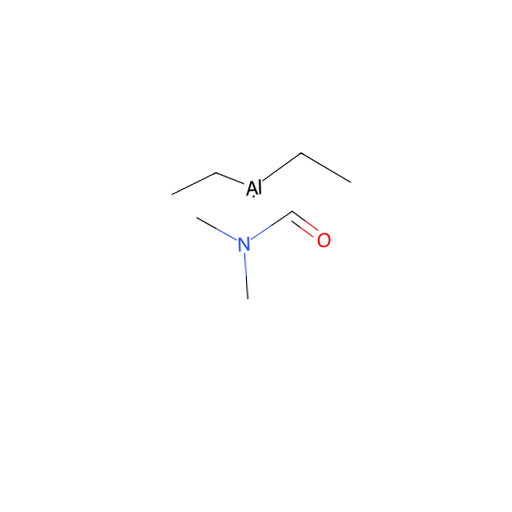 CN(C)C=O.C[CH2][Al][CH2]C